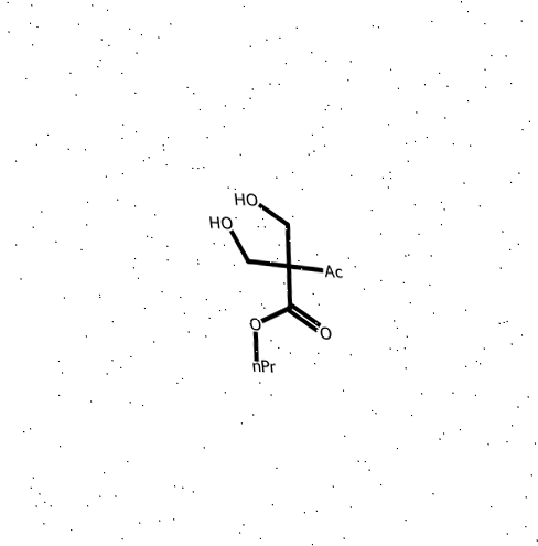 CCCOC(=O)C(CO)(CO)C(C)=O